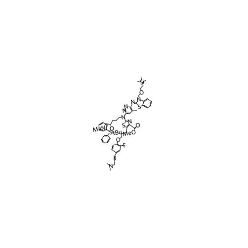 CNCC(CCCN(c1cc(C)c(/N=c2\sc3ccccc3n2COCC[Si](C)(C)C)nn1)c1nc(C(=O)OC)c(CCCOc2ccc(C#CCN(C)C)cc2F)s1)O[Si](c1ccccc1)(c1ccccc1)C(C)(C)C